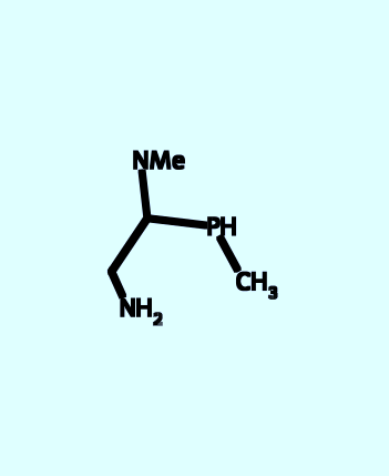 CNC(CN)PC